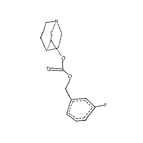 O=C(OCc1cccc(F)c1)OC1CN2CCC1CC2